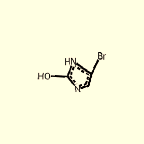 Oc1ncc(Br)[nH]1